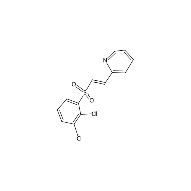 O=S(=O)(/C=C/c1ccccn1)c1cccc(Cl)c1Cl